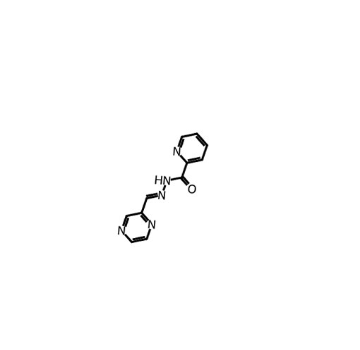 O=C(NN=Cc1cnccn1)c1ccccn1